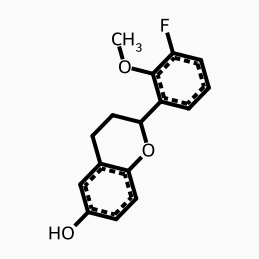 COc1c(F)cccc1C1CCc2cc(O)ccc2O1